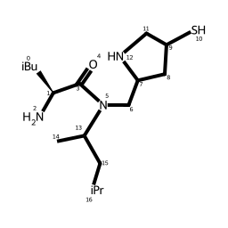 CCC(C)[C@H](N)C(=O)N(CC1CC(S)CN1)C(C)CC(C)C